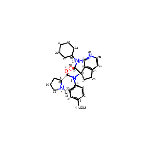 CC(C)(C)c1ccc(N(C(=O)[C@H]2CCCN2C#N)C2(C(=O)NC3CCCCC3)CCc3ccncc32)cc1